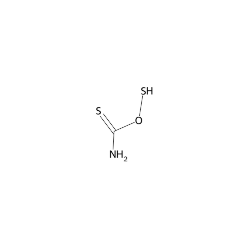 NC(=S)OS